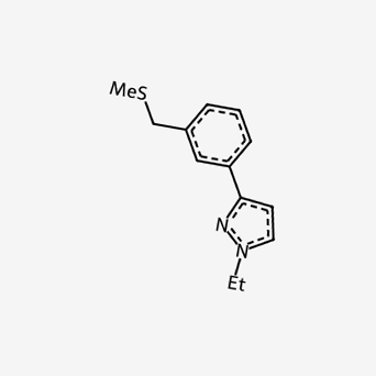 CCn1ccc(-c2cccc(CSC)c2)n1